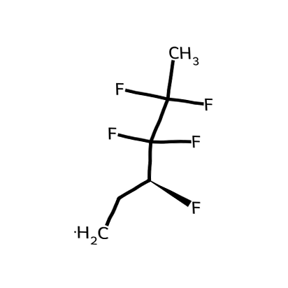 [CH2]C[C@H](F)C(F)(F)C(C)(F)F